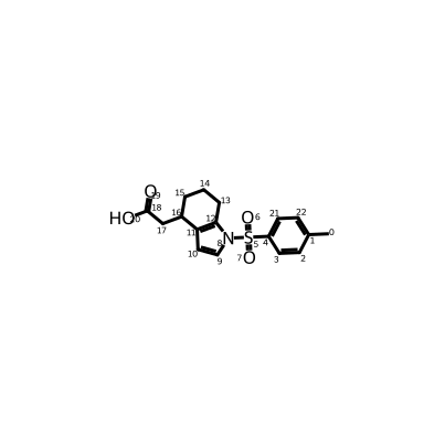 Cc1ccc(S(=O)(=O)n2ccc3c2CCCC3CC(=O)O)cc1